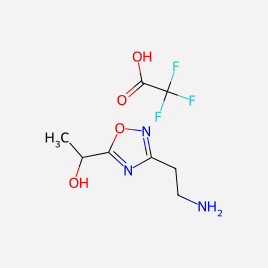 CC(O)c1nc(CCN)no1.O=C(O)C(F)(F)F